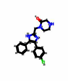 O=C1CNCCN1Cc1nc(-c2ccc(Cl)cc2)c(-c2ccccc2)[nH]1